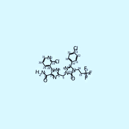 NC(=O)c1nc(Cn2nc(-c3ccc(Cl)cc3)n(CCC(F)(F)F)c2=O)nn1-c1cccnc1Cl